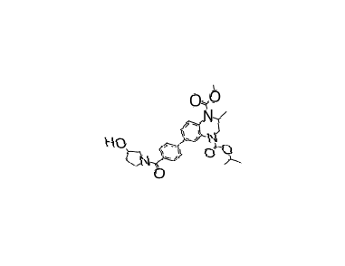 COC(=O)N1c2ccc(-c3ccc(C(=O)N4CCC(O)C4)cc3)cc2N(C(=O)OC(C)C)CC1C